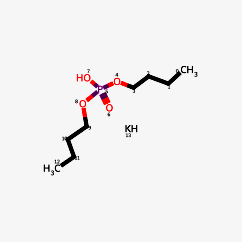 CCCCOP(=O)(O)OCCCC.[KH]